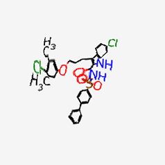 Cc1cc(OCCCc2c(C(=O)NS(=O)(=O)c3ccc(-c4ccccc4)cc3)[nH]c3cc(Cl)ccc23)cc(C)c1Cl